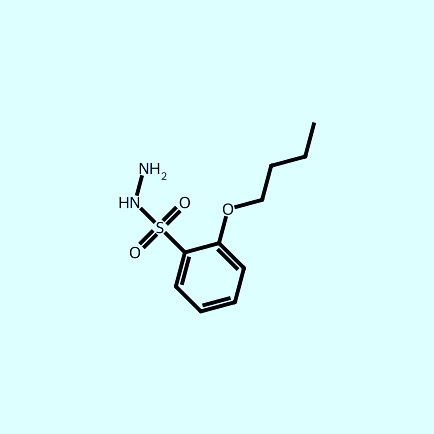 CCCCOc1ccccc1S(=O)(=O)NN